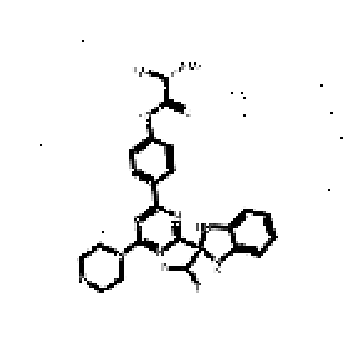 CN[C@@H](C)C(=O)Nc1ccc(-c2cc(N3CCOCC3)nc(C3(C(F)F)Nc4ccccc4N3)n2)cc1